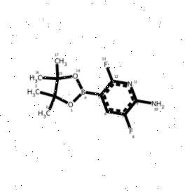 CC1(C)OB(c2cc(F)c(N)nc2F)OC1(C)C